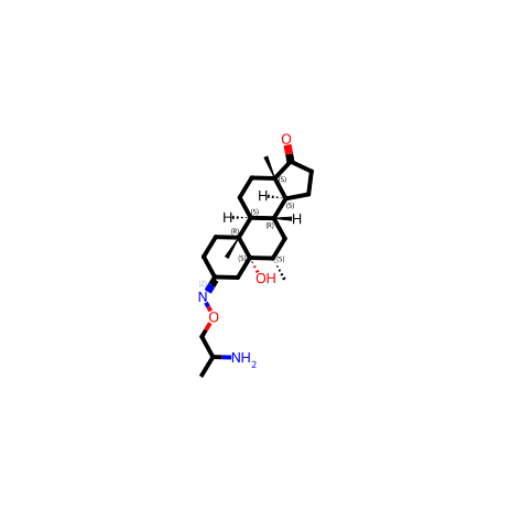 CC(N)CO/N=C1/CC[C@]2(C)[C@H]3CC[C@]4(C)C(=O)CC[C@H]4[C@@H]3C[C@H](C)[C@@]2(O)C1